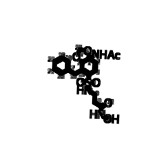 CC(=O)NC12C=CC(S(=O)(=O)NCCC(=O)NO)=C(Cc3ccccc3)C1OCO2